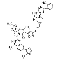 CC(=O)O[C@@H]1C[C@@H](C(=O)N[C@@H](C)c2ccc(-c3scnc3C)cc2)N(C(=O)[C@@H](c2cc(OCCN3CCN4c5cc(-c6ccccc6O)nnc5NC[C@@H]4C3)no2)C(C)C)C1